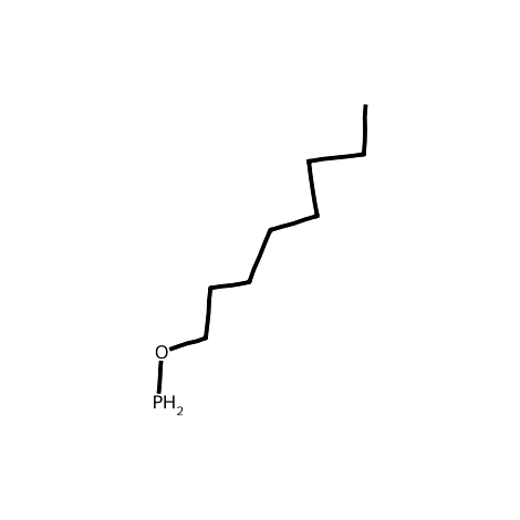 CCCCCCCCOP